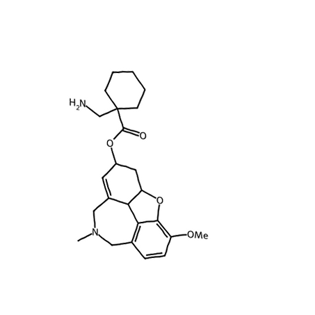 COc1ccc2c3c1OC1CC(OC(=O)C4(CN)CCCCC4)C=C(CN(C)C2)C31